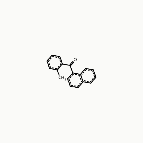 Cc1ccccc1C(=O)c1cccc2ccccc12